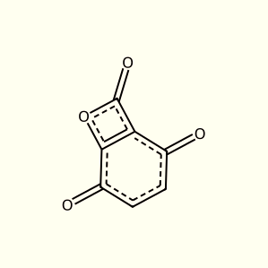 O=c1ccc(=O)c2c(=O)oc1=2